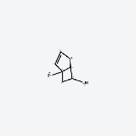 CCC12C=CCC1C(O)C2